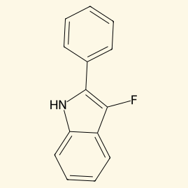 Fc1c(-c2ccccc2)[nH]c2ccccc12